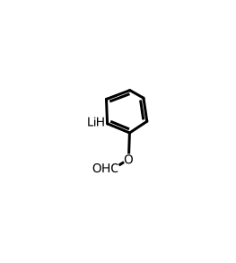 O=COc1ccccc1.[LiH]